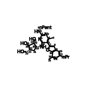 CCCCCNc1nc(C)c(-c2cc3cc(CCC)nc(C)c3o2)c(N[C@@H]2C[C@H](CO)[C@@H](O)[C@H]2O)n1